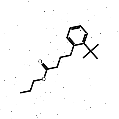 CCCOC(=O)CCCc1ccccc1C(C)(C)C